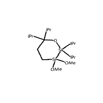 CO[Si]1(OC)CCC(C(C)C)(C(C)C)O[Si]1(C(C)C)C(C)C